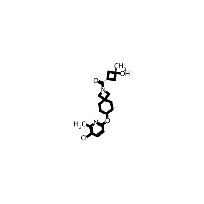 Cc1nc(OC2CCC3(CC2)CN(C(=O)[C@H]2C[C@@](C)(O)C2)C3)ccc1Cl